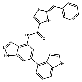 O=C(Nc1cc(-c2cccc3[nH]ccc23)cc2[nH]ncc12)C1=CSC(=Cc2ccccc2)N1